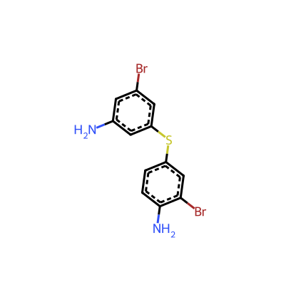 Nc1cc(Br)cc(Sc2ccc(N)c(Br)c2)c1